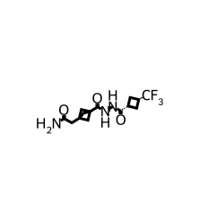 NC(=O)CC12CC(C(=O)NNC(=O)[C@H]3C[C@@H](C(F)(F)F)C3)(C1)C2